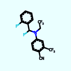 N#Cc1ccc(N(CC(F)(F)F)C(F)c2ccccc2F)cc1C(F)(F)F